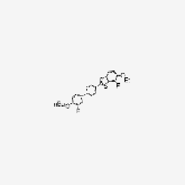 CCCCOc1ccc(-c2ccc(-c3cc4ccc(OCC)c(F)c4s3)cc2)cc1F